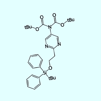 CC(C)(C)OC(=O)N(C(=O)OC(C)(C)C)c1cnc(CCO[Si](c2ccccc2)(c2ccccc2)C(C)(C)C)nc1